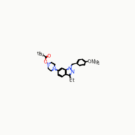 CCc1nn(Cc2ccc(OC)cc2)c2cc(N3CCN(OC(=O)C(C)(C)C)CC3)ccc12